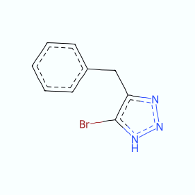 Brc1[nH]nnc1Cc1ccccc1